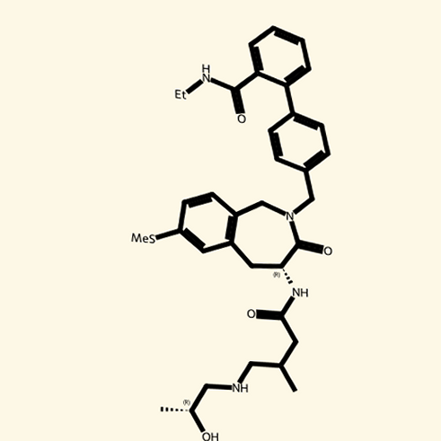 CCNC(=O)c1ccccc1-c1ccc(CN2Cc3ccc(SC)cc3C[C@@H](NC(=O)CC(C)CNC[C@@H](C)O)C2=O)cc1